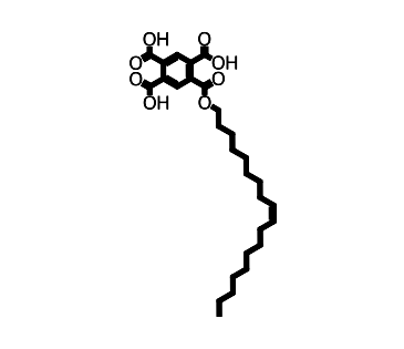 CCCCCCCC/C=C\CCCCCCCCOC(=O)c1cc(C(=O)O)c(C(=O)O)cc1C(=O)O